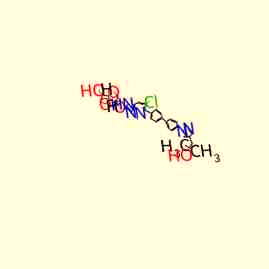 CC(C)(O)Cc1cnn(-c2ccc(-c3ccc(-c4nc5nc(OC6CO[C@@H]7[C@H](O)CO[C@H]67)[nH]c5cc4Cl)cc3)cc2)c1